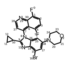 Fc1ccc(F)c2c(-n3c(C4CC4)nc4c(Br)cc(N5CCOCC5)cc43)ccnc12